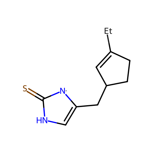 CCC1=CC(CC2=CNC(=S)[N]2)CC1